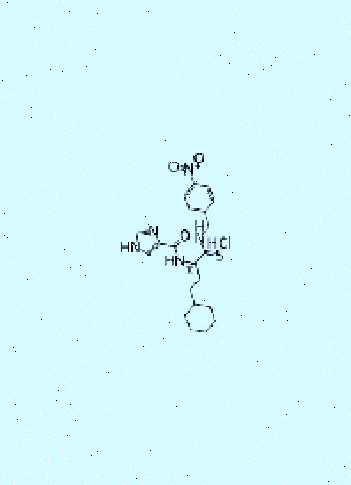 Cl.O=C(N[C@H](CCC1CCCCC1)C(=S)NCc1ccc([N+](=O)[O-])cc1)c1c[nH]cn1